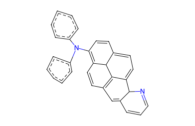 C1=CC2=CC3=C4C(=CC=C5C=CC(N(c6ccccc6)c6ccccc6)=C(C=C3)C54)C2N=C1